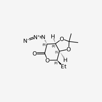 CC[C@H]1OC(=O)[C@H](N=[N+]=[N-])[C@H]2OC(C)(C)O[C@H]21